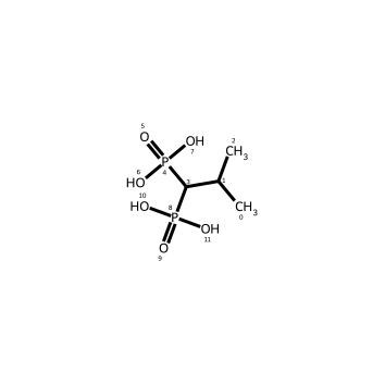 CC(C)[C](P(=O)(O)O)P(=O)(O)O